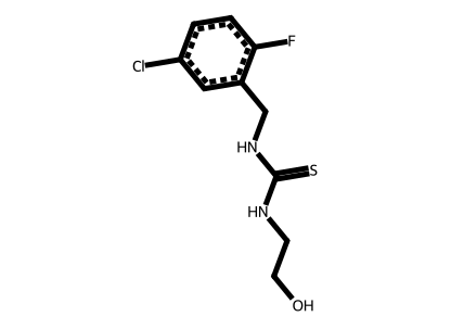 OCCNC(=S)NCc1cc(Cl)ccc1F